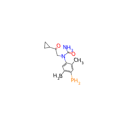 Bc1cc(N(CC(=O)C2CC2)C(N)=O)c(C)cc1P